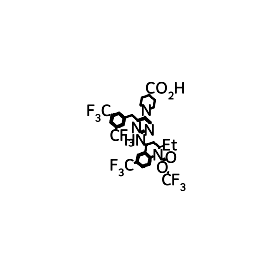 CC[C@@H]1C[C@H](Nc2ncc(N3CCC(C(=O)O)CC3)c(Cc3cc(C(F)(F)F)cc(C(F)(F)F)c3)n2)c2cc(C(F)(F)F)ccc2N1C(=O)OCC(F)(F)F